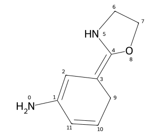 NC1=CC(=C2NCCO2)CC=C1